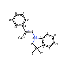 CC(=O)/C(=C\N1CC(C)(C)c2ccccc21)c1ccccc1